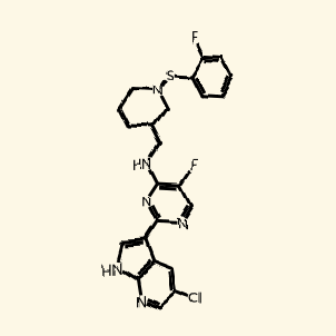 Fc1ccccc1SN1CCCC(CNc2nc(-c3c[nH]c4ncc(Cl)cc34)ncc2F)C1